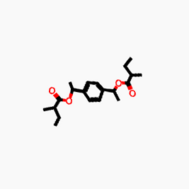 CCC(C)C(=O)OC(C)c1ccc(C(C)OC(=O)C(C)CC)cc1